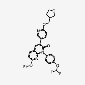 CCOc1ccc2cc(-c3ccc(OCC4CCOC4)nc3)c(=O)n(-c3ccc(OC(F)F)cc3)c2n1